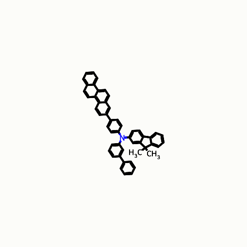 CC1(C)c2ccccc2-c2ccc(N(c3ccc(-c4ccc5c(ccc6c7ccccc7ccc56)c4)cc3)c3cccc(-c4ccccc4)c3)cc21